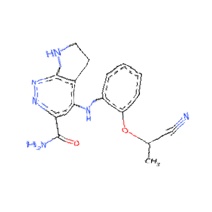 CC(C#N)Oc1ccccc1Nc1c(C(N)=O)nnc2c1CCN2